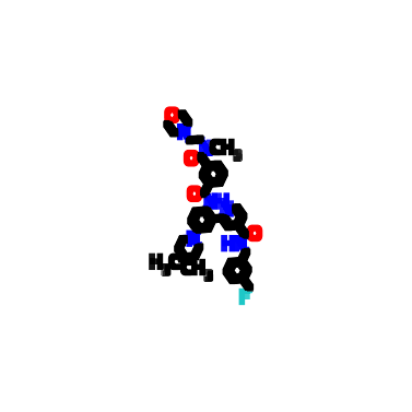 CN(CCN1CCOCC1)C(=O)c1cccc(C(=O)Nc2ccc(N3CCC(C)(C)CC3)cc2-c2cc(C(=O)NCc3cccc(CF)c3)ccn2)c1